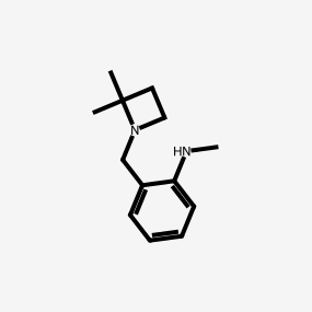 CNc1ccccc1CN1CCC1(C)C